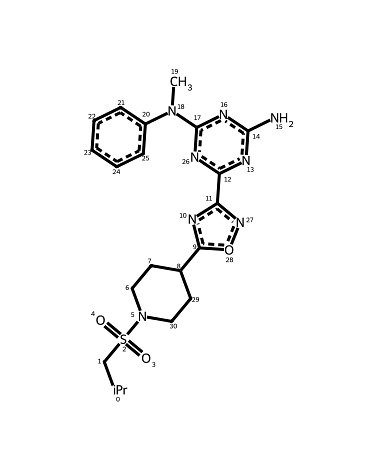 CC(C)CS(=O)(=O)N1CCC(c2nc(-c3nc(N)nc(N(C)c4ccccc4)n3)no2)CC1